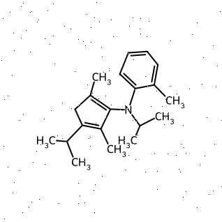 CC1=C(N(c2ccccc2C)C(C)C)C(C)=C(C(C)C)C1